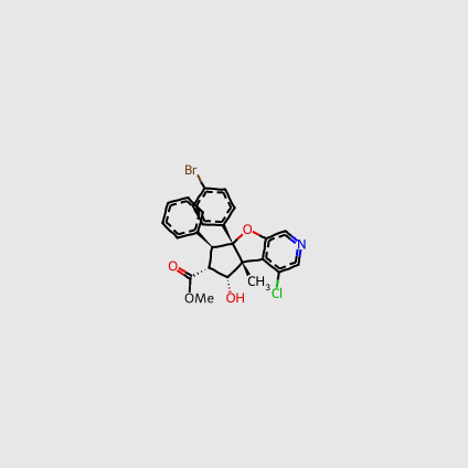 COC(=O)[C@H]1[C@@H](O)[C@@]2(C)c3c(Cl)cncc3O[C@@]2(c2ccc(Br)cc2)[C@@H]1c1ccccc1